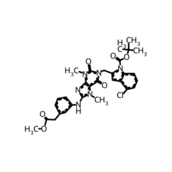 COC(=O)Cc1cccc(Nc2nc3c(c(=O)n(Cc4cc5c(Cl)cccc5n4C(=O)OC(C)(C)C)c(=O)n3C)n2C)c1